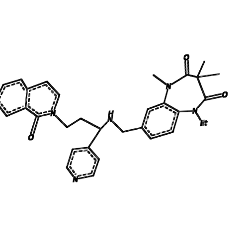 CCN1C(=O)C(C)(C)C(=O)N(C)c2cc(CNC(CCn3ccc4ccccc4c3=O)c3ccncc3)ccc21